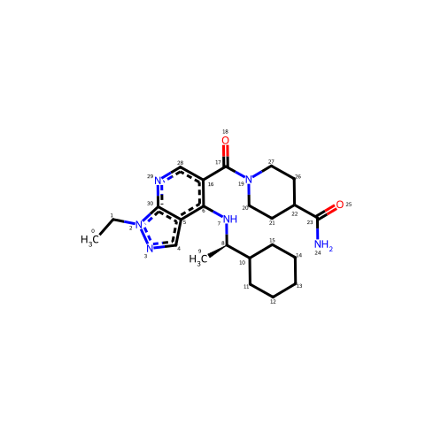 CCn1ncc2c(N[C@H](C)C3CCCCC3)c(C(=O)N3CCC(C(N)=O)CC3)cnc21